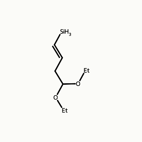 CCOC(CC=C[SiH3])OCC